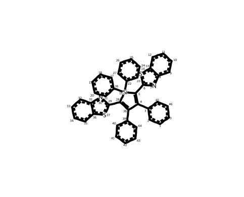 c1ccc(C2=C(c3nc4ccccc4s3)[Si](c3ccccc3)(c3ccccc3)C(c3nc4ccccc4s3)=C2c2ccccc2)cc1